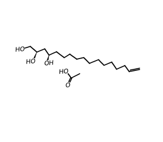 C=CCCCCCCCCCCC[C@@H](O)C[C@@H](O)CO.CC(=O)O